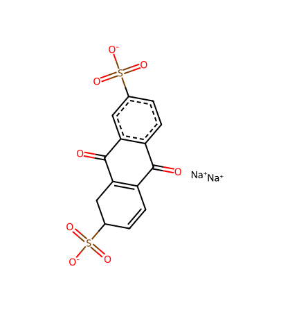 O=C1C2=C(CC(S(=O)(=O)[O-])C=C2)C(=O)c2cc(S(=O)(=O)[O-])ccc21.[Na+].[Na+]